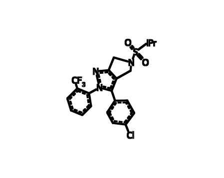 CC(C)S(=O)(=O)N1Cc2nn(-c3ccccc3C(F)(F)F)c(-c3ccc(Cl)cc3)c2C1